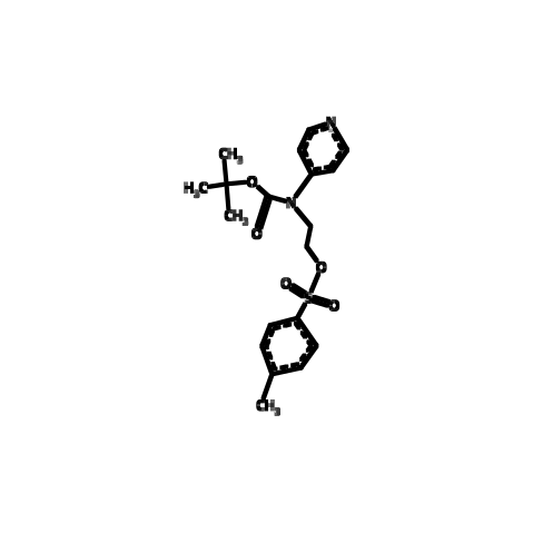 Cc1ccc(S(=O)(=O)OCCN(C(=O)OC(C)(C)C)c2ccncc2)cc1